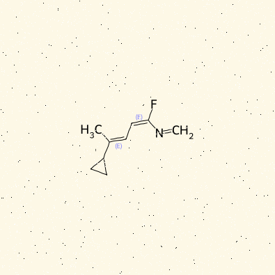 C=N/C(F)=C\C=C(/C)C1CC1